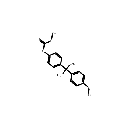 CC(C)OC(=O)Oc1ccc(C(C)(C)c2ccc(OC(C)C)cc2)cc1